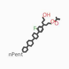 C=C(C)C(=O)OCCCC(CCCO)c1ccc(C2CCC(C3CCC(C4CCC(CCCCC)CC4)CC3)CC2)c(F)c1